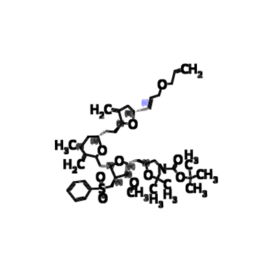 C=CCOC/C=C/[C@H]1CC(=C)[C@H](CC[C@H]2C[C@@H](C)C(=C)C(C[C@@H]3O[C@H](C[C@H]4CN(C(=O)OC(C)(C)C)C(C)(C)O4)[C@H](OC)[C@H]3CS(=O)(=O)c3ccccc3)O2)O1